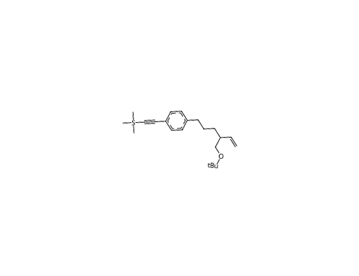 C=CC(CCCc1ccc(C#CS(C)(C)C)cc1)COC(C)(C)C